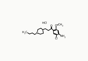 CCCCN1CCC(CCC(=O)c2cc(Cl)c(N)cc2OC)CC1.Cl